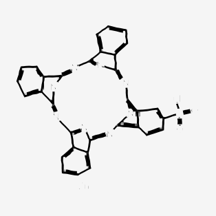 O=S(=O)(Cl)c1ccc2c3nc4nc(nc5[nH]c(nc6nc(nc([nH]3)c2c1)-c1ccccc1-6)c1ccccc51)-c1ccccc1-4.[Zn]